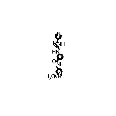 CNc1cc(CNC(=O)c2cccc(NCc3nnc(-c4ccncc4)[nH]3)c2)ccn1